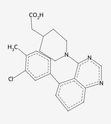 Cc1ccc(-c2cccc3ncnc(N4CCC(CC(=O)O)CC4)c23)cc1Cl